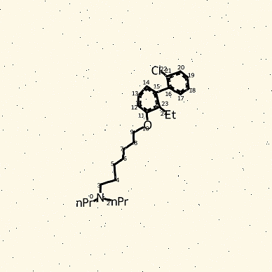 CCCN(CCC)CCCCCCCOc1cccc(-c2ccccc2Cl)c1CC